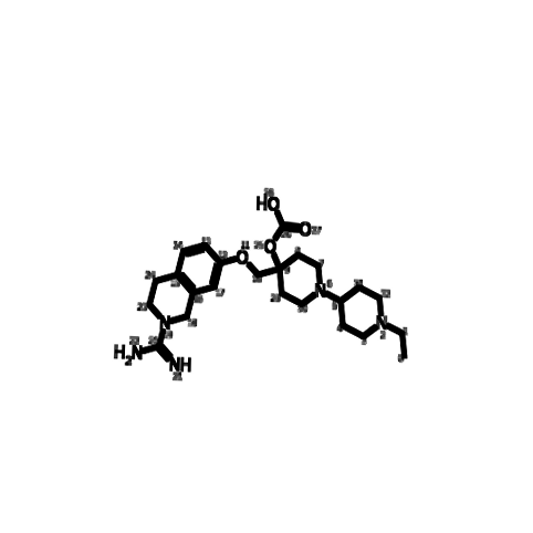 CCN1CCC(N2CCC(COc3ccc4c(c3)CN(C(=N)N)CC4)(OC(=O)O)CC2)CC1